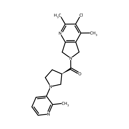 Cc1ncccc1N1CC[C@@H](C(=O)N2Cc3nc(C)c(Cl)c(C)c3C2)C1